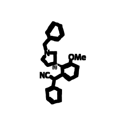 COc1cccc(C(C#N)c2ccccc2)c1[C@@H]1CCN(Cc2ccccc2)C1